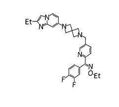 CCON=C(c1ccc(F)c(F)c1)c1ccc(CN2CC3(C2)CN(c2ccn4cc(CC)nc4c2)C3)cn1